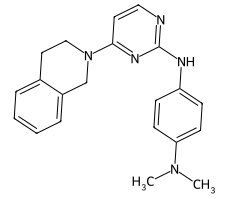 CN(C)c1ccc(Nc2nccc(N3CCc4ccccc4C3)n2)cc1